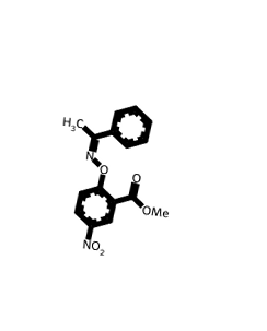 COC(=O)c1cc([N+](=O)[O-])ccc1ON=C(C)c1ccccc1